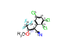 CO/C(=C(\C#N)c1cc(Cl)cc(Cl)c1Cl)C(F)(F)F